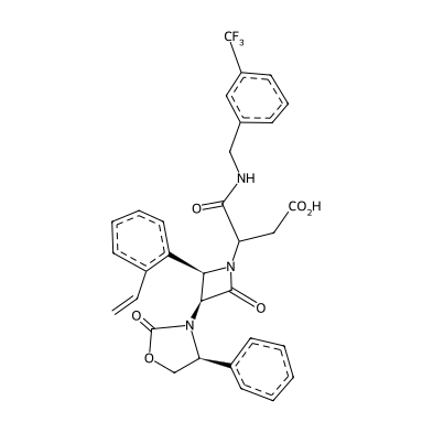 C=Cc1ccccc1[C@@H]1[C@H](N2C(=O)OC[C@@H]2c2ccccc2)C(=O)N1C(CC(=O)O)C(=O)NCc1cccc(C(F)(F)F)c1